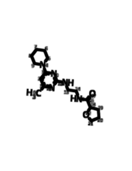 Cc1cc(N2CCCCC2)nc(NCCNC(=O)C2CCCO2)n1